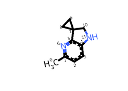 Cc1ccc2c(n1)C1(CC1)CN2